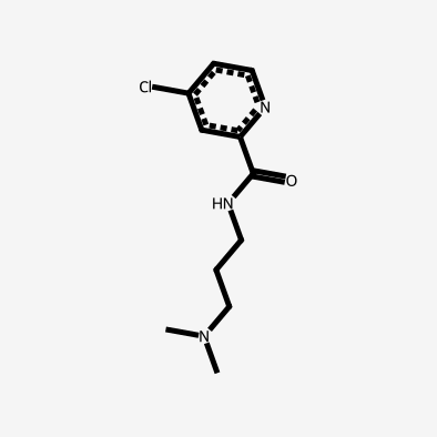 CN(C)CCCNC(=O)c1cc(Cl)ccn1